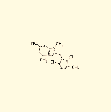 Cc1ccc(Cl)c(Cc2cc3c(n2C)C=C(C#N)CC3C)c1Cl